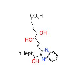 CCCCCCCC(O)c1nc2ccccc2nc1/C=C/C(O)C(O)CCCC(=O)O